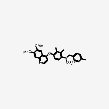 COc1cc2nccc(Oc3ccc(N(Cc4ccc(C)cc4)C(=O)O)c(C)c3C)c2cc1OC